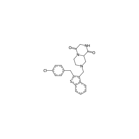 O=C1NCC(=O)N2CCN(Cc3c(Cc4ccc(Cl)cc4)sc4ccccc34)CC12